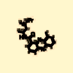 Cc1cccc2nc3cccc(C(=O)NC(C)CN(C)C(C)C)c3nc12